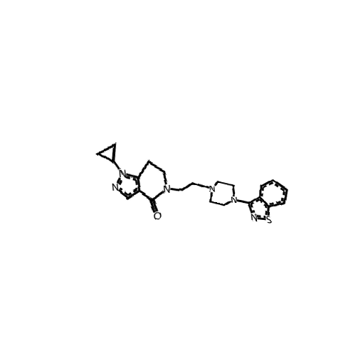 O=C1c2cnn(C3CC3)c2CCN1CCN1CCN(c2nsc3ccccc23)CC1